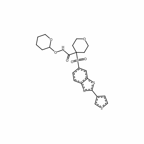 O=C(NOC1CCCCO1)C1(S(=O)(=O)c2ccc3nc(-c4ccsc4)sc3c2)CCOCC1